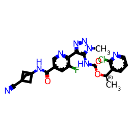 C[C@@H](OC(=O)Nc1c(-c2ncc(C(=O)NC34CC(C#N)(C3)C4)cc2F)nnn1C)c1cccnc1Cl